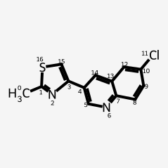 Cc1nc(-c2cnc3ccc(Cl)cc3c2)cs1